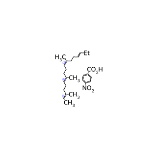 C/C=C(\C)CC/C=C(\C)CC/C=C(/C)CCC=CCC.O=C(O)c1ccc([N+](=O)[O-])cc1